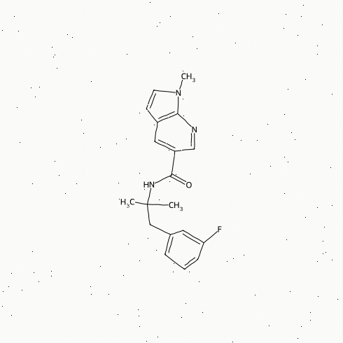 Cn1ccc2cc(C(=O)NC(C)(C)Cc3cccc(F)c3)cnc21